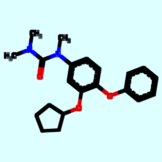 CN(C)C(=O)N(C)c1ccc(Oc2ccccc2)c(OC2CCCC2)c1